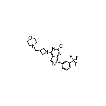 FC(F)(F)c1cccc(-n2ncc3c(N4CC(CN5CCOCC5)C4)nc(Cl)nc32)c1